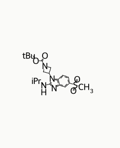 CC(C)Nc1nc2cc(S(C)(=O)=O)ccc2n1C1CN(C(=O)OC(C)(C)C)C1